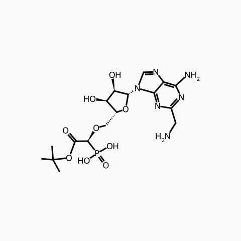 CC(C)(C)OC(=O)[C@@H](OC[C@H]1O[C@@H](n2cnc3c(N)nc(CN)nc32)[C@H](O)[C@@H]1O)P(=O)(O)O